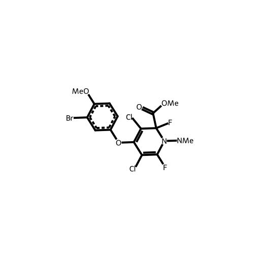 CNN1C(F)=C(Cl)C(Oc2ccc(OC)c(Br)c2)=C(Cl)C1(F)C(=O)OC